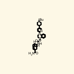 CC(C)(C)N1CCC(c2ccc(N3CCN(OC(=O)NC4[C@@H]5CC6C[C@H]4CC(C(N)=O)(C6)C5)c4ccccc43)nc2)CC1